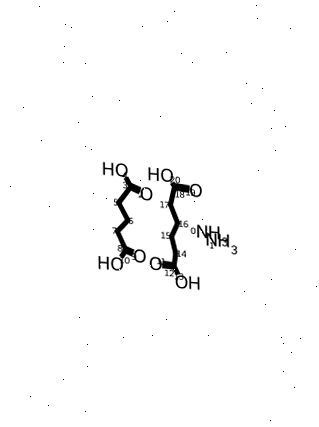 N.N.O=C(O)CCCC(=O)O.O=C(O)CCCCC(=O)O